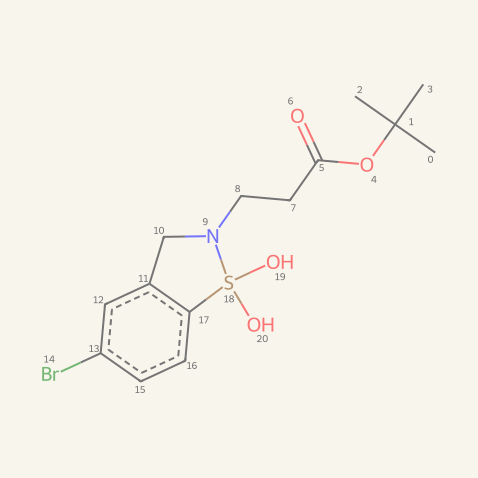 CC(C)(C)OC(=O)CCN1Cc2cc(Br)ccc2S1(O)O